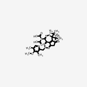 COc1c(C)cnc(CN2N=C3CC(=O)C4=C3C(=N2)C(N(C(=O)O)C(=O)O)=NSC4(C(C)(C)C)C(C)(C)C)c1C